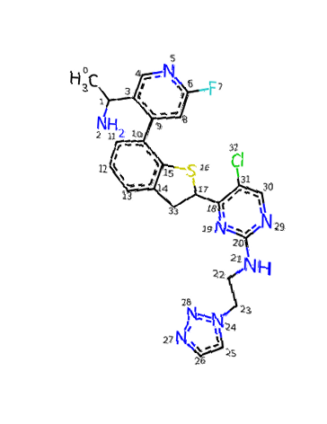 CC(N)c1cnc(F)cc1-c1cccc2c1SC(c1nc(NCCn3ccnn3)ncc1Cl)C2